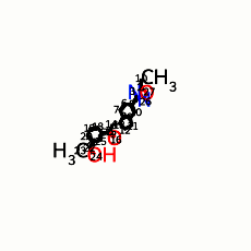 CCc1nc(-c2ccc3c(c2)CC[C@H]3CC(=O)c2cccc(C(C)O)c2)no1